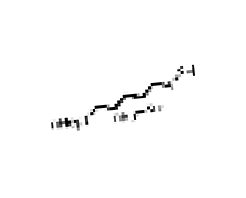 CCCCCCCCCCCCSS.CCC[CH2][Sn]